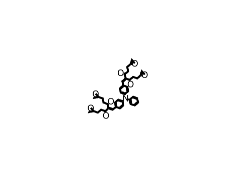 O=C(CCC1CO1)C(=Cc1ccc(N(c2ccccc2)c2ccc(C=C(C(=O)CCC3CO3)C(=O)CCC3CO3)cc2)cc1)C(=O)CCC1CO1